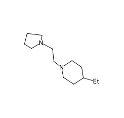 [CH2]CC1CCN(CCN2CCCC2)CC1